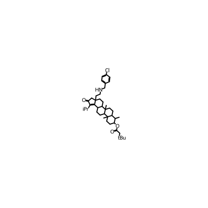 CC(C)C1=C2C3CCC4C(C)(CCC5C(C)C(OC(=O)CC(C)(C)C)CCC54C)C3CCC2(CCNCc2ccc(Cl)cc2)CC1=O